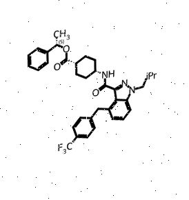 CC(C)Cn1nc(C(=O)N[C@H]2CC[C@@H](C(=O)O[C@@H](C)c3ccccc3)CC2)c2c(Cc3ccc(C(F)(F)F)cc3)cccc21